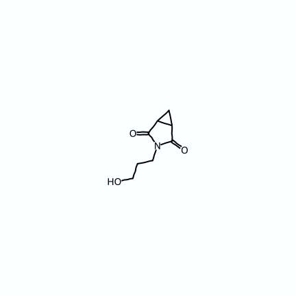 O=C1C2CC2C(=O)N1CCCO